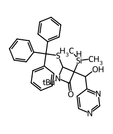 C[SiH](C)C1(C(O)c2ccncn2)C(=O)N(C(C)(C)C)C1SC(c1ccccc1)(c1ccccc1)c1ccccc1